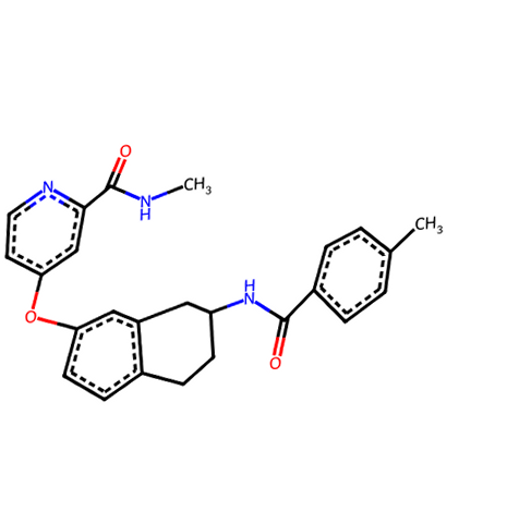 CNC(=O)c1cc(Oc2ccc3c(c2)CC(NC(=O)c2ccc(C)cc2)CC3)ccn1